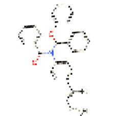 CC/C(=C\C(=O)O)c1ccc(N(C(=O)c2ccccc2)C(Oc2ccccc2)c2ccccc2)cc1